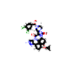 C[C@@H]1Cn2c(c(C(=O)NCc3ccccc3-c3cc[nH]n3)n(-c3ccc(OC4CC4)cc3)c2=O)CN1C(=O)c1ccc(Br)c(Cl)c1